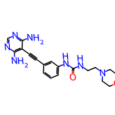 Nc1ncnc(N)c1C#Cc1cccc(NC(=O)NCCN2CCOCC2)c1